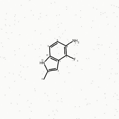 Cc1cc2c(F)c(N)ccc2[nH]1